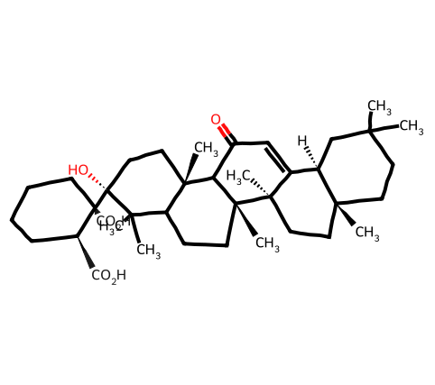 CC1(C)CC[C@]2(C)CC[C@]3(C)C(=CC(=O)C4[C@@]5(C)CC[C@](O)([C@@]6(C(=O)O)CCCC[C@@H]6C(=O)O)C(C)(C)C5CC[C@]43C)[C@H]2C1